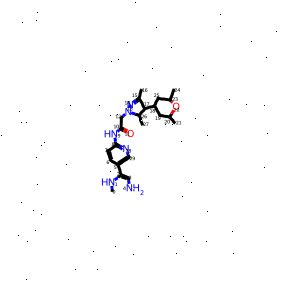 CN/C(=C\N)c1ccc(NC(=O)CN2N=C(C)C(C3CC(C)OC(C)C3)C2C)nc1